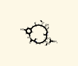 CO[C@H]1C[C@H](C)Cc2cc(O)cc(c2)NC(=O)/C(C)=C/CC[C@H](OC)[C@@H](OC(N)=O)/C(C)=C/[C@H](C)[C@H]1O